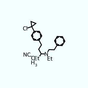 CC#N.CCC(CCc1ccc(C2(Cl)CC2)cc1)N(CC)CCc1ccccc1